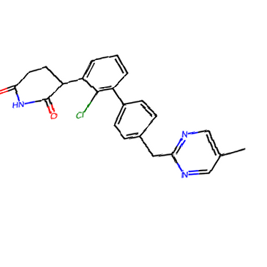 Cc1cnc(Cc2ccc(-c3cccc(C4CCC(=O)NC4=O)c3Cl)cc2)nc1